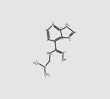 CN(C)CNC(=NO)c1ccnc2[nH]cnc12